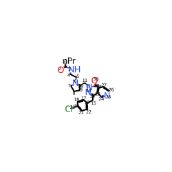 CCCC(=O)NCCN1CCC[C@@H]1Cn1nc(Cc2ccc(Cl)cc2)c2cnccc2c1=O